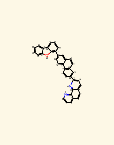 c1cnc2c(c1)ccc1ccc(-c3ccc4c(ccc5cc(-c6cccc7c6oc6ccccc67)ccc54)c3)nc12